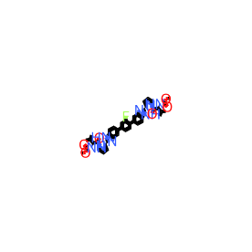 COC(=O)N[C@H](C(=O)N1CCC[C@H]1c1nc2cc(-c3ccc(-c4ccc5[nH]c([C@@H]6CCCN6C(=O)[C@@H](NC(=O)OC)C(C)C)nc5c4)c(F)c3)ccc2[nH]1)C(C)C